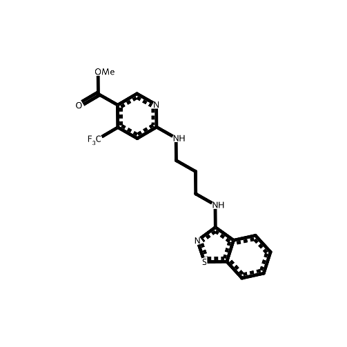 COC(=O)c1cnc(NCCCNc2nsc3ccccc23)cc1C(F)(F)F